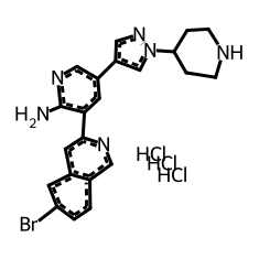 Cl.Cl.Cl.Nc1ncc(-c2cnn(C3CCNCC3)c2)cc1-c1cc2cc(Br)ccc2cn1